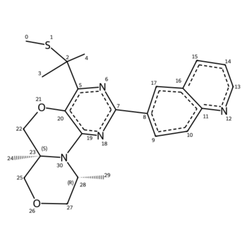 CSC(C)(C)c1nc(-c2ccc3ncccc3c2)nc2c1OC[C@]1(C)COC[C@@H](C)N21